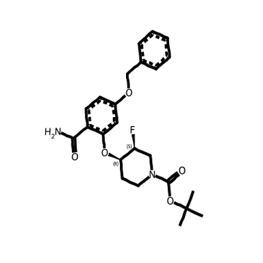 CC(C)(C)OC(=O)N1CC[C@@H](Oc2cc(OCc3ccccc3)ccc2C(N)=O)[C@@H](F)C1